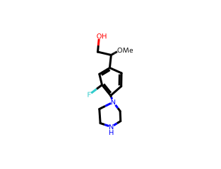 COC(CO)c1ccc(N2CCNCC2)c(F)c1